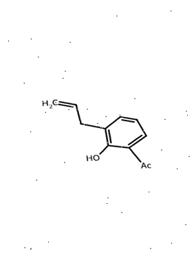 C=CCc1[c]ccc(C(C)=O)c1O